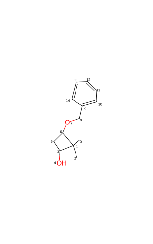 CC1(C)C(O)CC1OCc1ccccc1